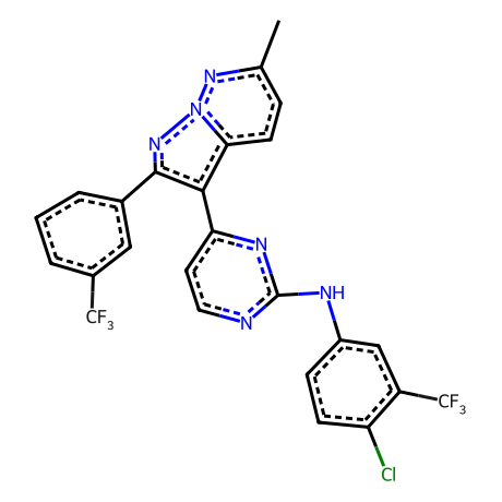 Cc1ccc2c(-c3ccnc(Nc4ccc(Cl)c(C(F)(F)F)c4)n3)c(-c3cccc(C(F)(F)F)c3)nn2n1